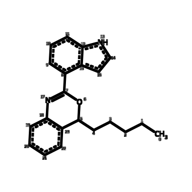 CCCCCC1OC(c2cccc3[nH]ccc23)=Nc2ccccc21